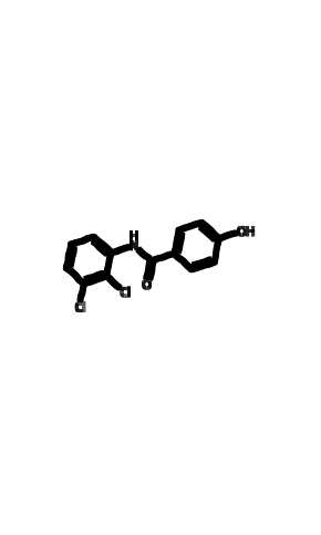 O=C(Nc1cccc(Cl)c1Cl)c1ccc(O)cc1